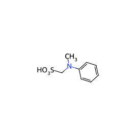 CN(CS(=O)(=O)O)c1ccccc1